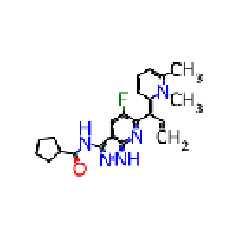 C=C/C(=C1/C=CC=C(C)N1C)c1nc2[nH]nc(NC(=O)C3CCCC3)c2cc1F